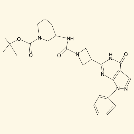 CC(C)(C)OC(=O)N1CCCC(NC(=O)N2CC(c3nc4c(cnn4-c4ccccc4)c(=O)[nH]3)C2)C1